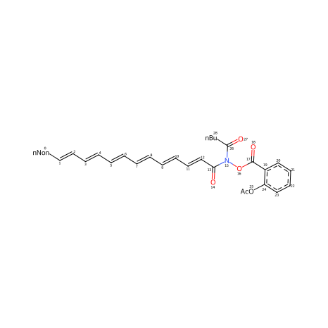 CCCCCCCCCC=CC=CC=CC=CC=CC=CC(=O)N(OC(=O)c1ccccc1OC(C)=O)C(=O)CCCC